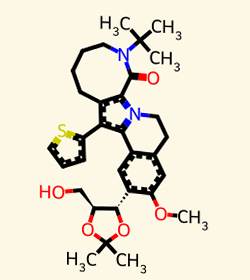 COc1cc2c(cc1[C@@H]1OC(C)(C)O[C@H]1CO)-c1c(-c3cccs3)c3c(n1CC2)C(=O)N(C(C)(C)C)CCCC3